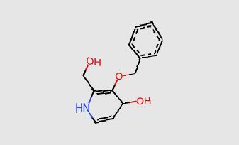 OCC1=C(OCc2ccccc2)C(O)C=CN1